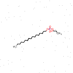 CCCCCCCCCCCCCCCCCOP(=O)(O)OCCC